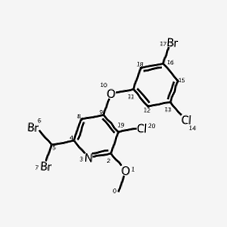 COc1nc(C(Br)Br)cc(Oc2cc(Cl)cc(Br)c2)c1Cl